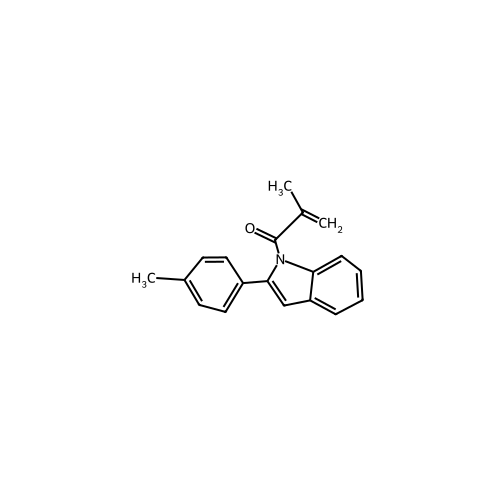 C=C(C)C(=O)n1c(-c2ccc(C)cc2)cc2ccccc21